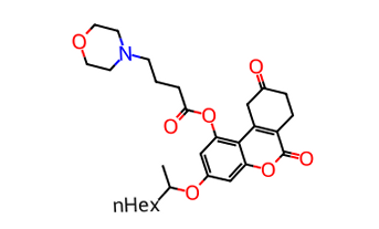 CCCCCCC(C)Oc1cc(OC(=O)CCCN2CCOCC2)c2c3c(c(=O)oc2c1)CCC(=O)C3